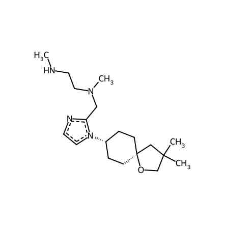 CNCCN(C)Cc1nccn1[C@H]1CC[C@]2(CC1)CC(C)(C)CO2